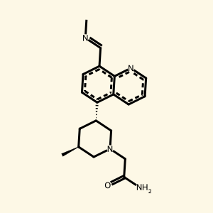 C/N=C/c1ccc([C@H]2C[C@H](C)CN(CC(N)=O)C2)c2cccnc12